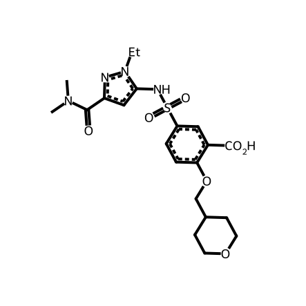 CCn1nc(C(=O)N(C)C)cc1NS(=O)(=O)c1ccc(OCC2CCOCC2)c(C(=O)O)c1